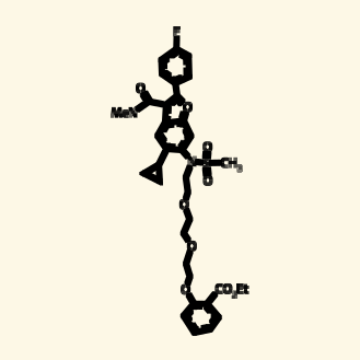 CCOC(=O)c1ccccc1OCCOCCOCCN(c1cc2oc(-c3ccc(F)cc3)c(C(=O)NC)c2cc1C1CC1)S(C)(=O)=O